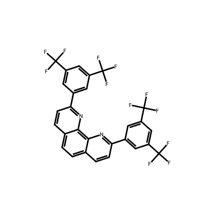 FC(F)(F)c1cc(-c2ccc3ccc4ccc(-c5cc(C(F)(F)F)cc(C(F)(F)F)c5)nc4c3n2)cc(C(F)(F)F)c1